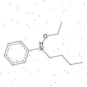 CCCC[SiH](OCC)c1ccccc1